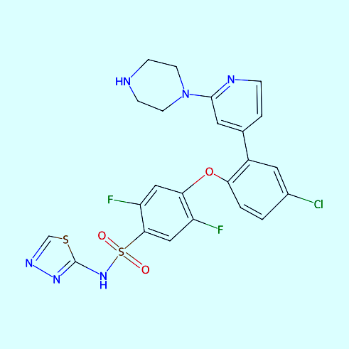 O=S(=O)(Nc1nncs1)c1cc(F)c(Oc2ccc(Cl)cc2-c2ccnc(N3CCNCC3)c2)cc1F